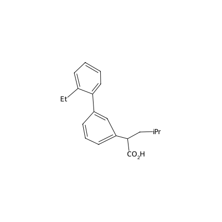 CCc1ccccc1-c1cccc(C(CC(C)C)C(=O)O)c1